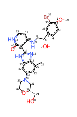 COc1ccc([C@H](O)CNc2cc[nH]c(=O)c2-c2nc3c(C)cc(N4CCO[C@@H](CO)C4)cc3[nH]2)cc1Br